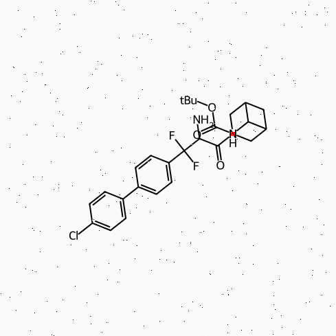 CC(C)(C)OC(=O)NC1C2CC1CN(C(=O)C(N)C(F)(F)c1ccc(-c3ccc(Cl)cc3)cc1)C2